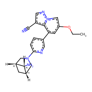 CCOc1cc(-c2ccc(N3C[C@H]4C[C@@H](C3)[C@H]4N)nc2)c2c(C#N)cnn2c1